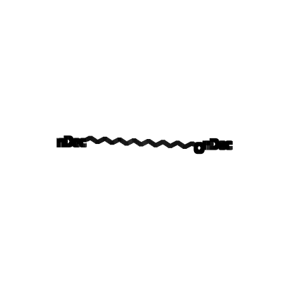 CCCCCCCCCCCCCCCCCCCCCCCCCOCCCCCCCCCC